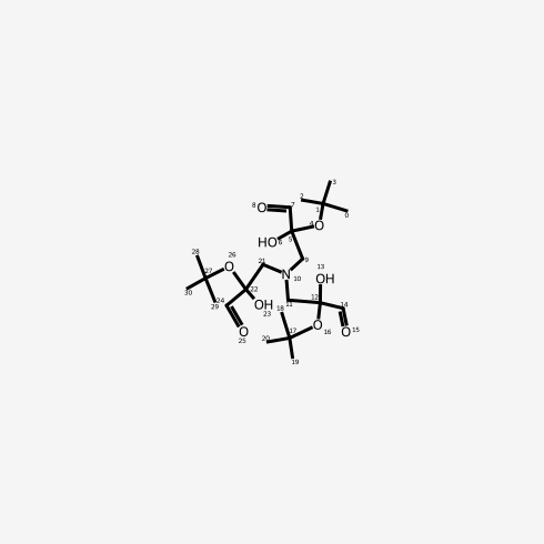 CC(C)(C)OC(O)(C=O)CN(CC(O)(C=O)OC(C)(C)C)CC(O)(C=O)OC(C)(C)C